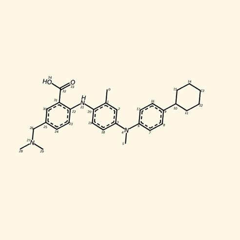 Cc1cc(N(C)c2ccc(C3CCCCC3)cc2)ccc1Nc1ccc(CN(C)C)cc1C(=O)O